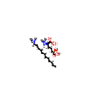 CCCCCCCCCCCCN(C)C.C[N+](C)(C)C(CCCS(=O)(=O)[O-])C(=O)O